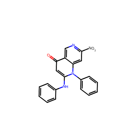 O=c1cc(Nc2ccccc2)n(-c2ccccc2)c2cc([N+](=O)[O-])ncc12